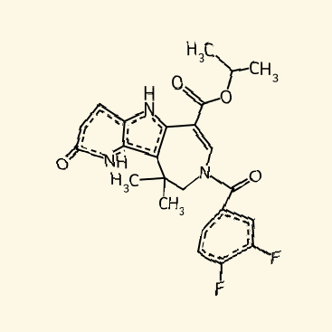 CC(C)OC(=O)C1=CN(C(=O)c2ccc(F)c(F)c2)CC(C)(C)c2c1[nH]c1ccc(=O)[nH]c21